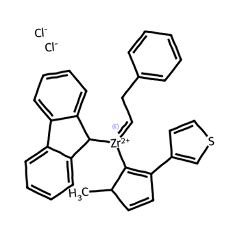 CC1C=CC(c2ccsc2)=[C]1/[Zr+2](=[CH]/Cc1ccccc1)[CH]1c2ccccc2-c2ccccc21.[Cl-].[Cl-]